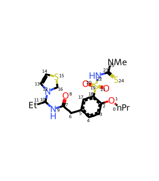 CCCOc1ccc(CC(=O)NC(CC)N2C=CSC2)cc1S(=O)(=O)NC(=S)NC